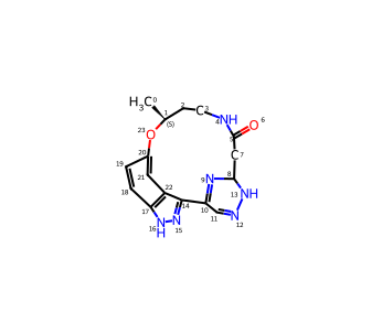 C[C@H]1CCNC(=O)CC2N=C(C=NN2)c2n[nH]c3ccc(cc23)O1